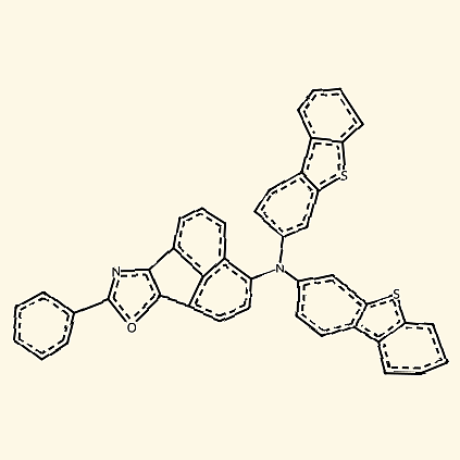 c1ccc(-c2nc3c(o2)-c2ccc(N(c4ccc5c(c4)sc4ccccc45)c4ccc5c(c4)sc4ccccc45)c4cccc-3c24)cc1